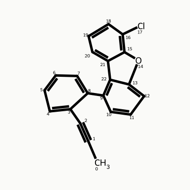 CC#Cc1ccccc1-c1cccc2oc3c(Cl)cccc3c12